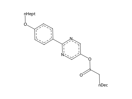 CCCCCCCCCCCC(=O)Oc1cnc(-c2ccc(OCCCCCCC)cc2)nc1